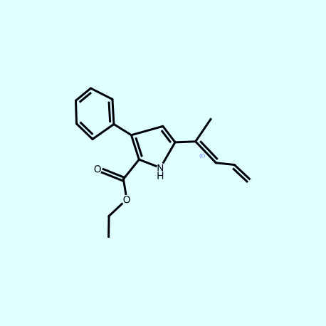 C=C/C=C(\C)c1cc(-c2ccccc2)c(C(=O)OCC)[nH]1